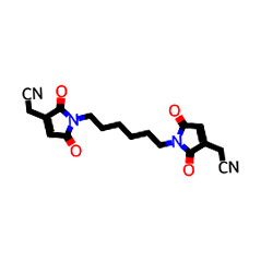 N#CCC1=CC(=O)N(CCCCCCN2C(=O)C=C(CC#N)C2=O)C1=O